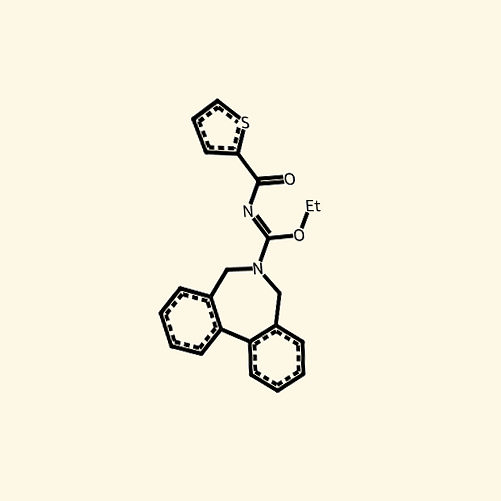 CCO/C(=N\C(=O)c1cccs1)N1Cc2ccccc2-c2ccccc2C1